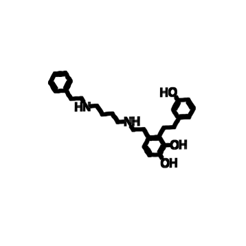 Oc1cccc(CCc2c(CCNCCCCNCCc3ccccc3)ccc(O)c2O)c1